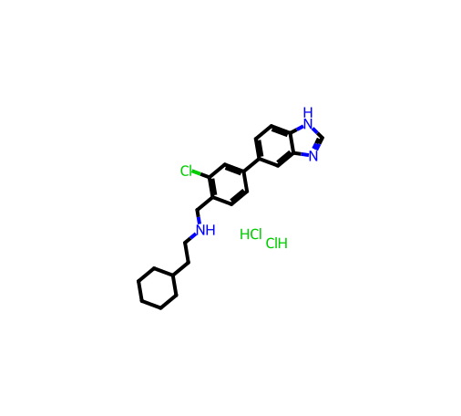 Cl.Cl.Clc1cc(-c2ccc3[nH]cnc3c2)ccc1CNCCC1CCCCC1